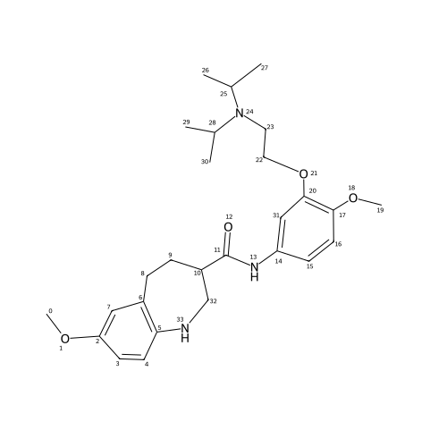 COc1ccc2c(c1)CCC(C(=O)Nc1ccc(OC)c(OCCN(C(C)C)C(C)C)c1)CN2